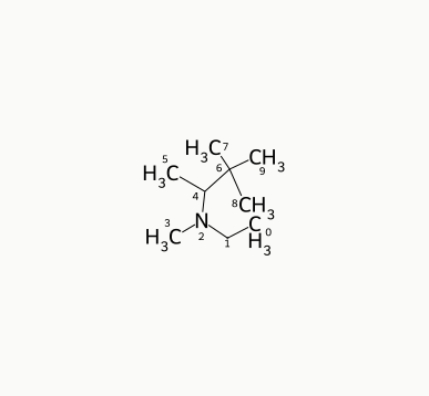 CCN(C)C(C)C(C)(C)C